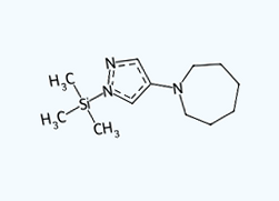 C[Si](C)(C)n1cc(N2CCCCCC2)cn1